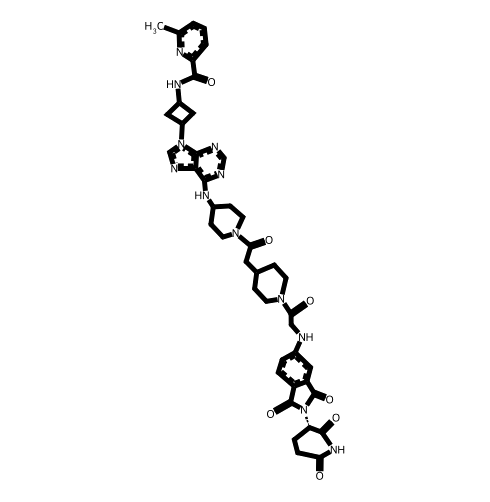 Cc1cccc(C(=O)NC2CC(n3cnc4c(NC5CCN(C(=O)CC6CCN(C(=O)CNc7ccc8c(c7)C(=O)N([C@H]7CCC(=O)NC7=O)C8=O)CC6)CC5)ncnc43)C2)n1